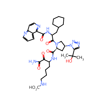 CC(C)(O)c1cnnn1[C@H]1C[C@@H](C(=O)NC(CCCCNC(=O)O)C(=O)C(N)=O)N(C(=O)C(CC2CCCCC2)NC(=O)c2nccc3ncccc23)C1